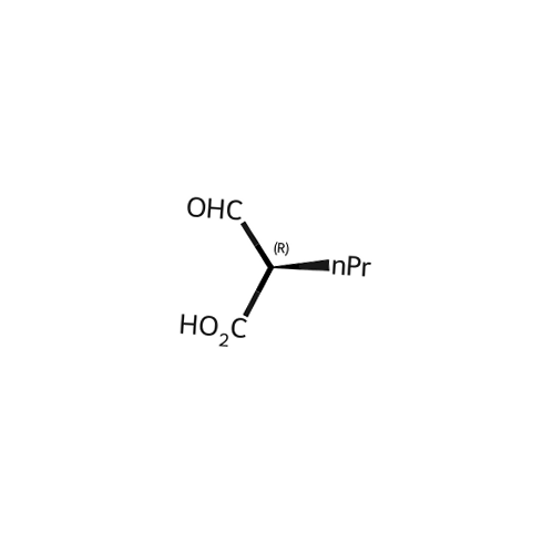 CCC[C@H](C=O)C(=O)O